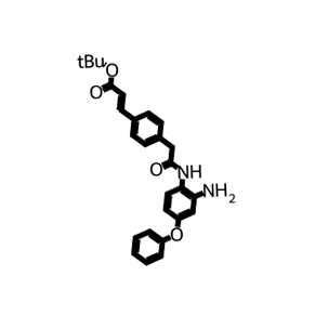 CC(C)(C)OC(=O)/C=C/c1ccc(CC(=O)Nc2ccc(Oc3ccccc3)cc2N)cc1